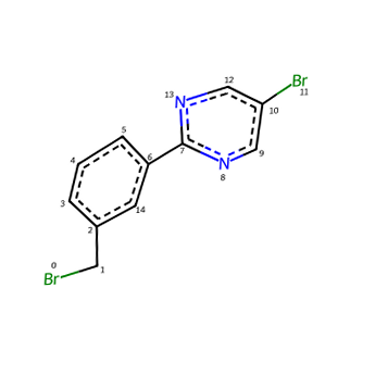 BrCc1cccc(-c2ncc(Br)cn2)c1